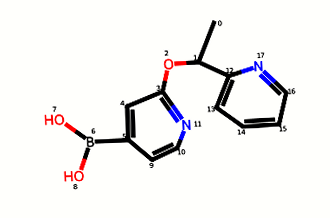 CC(Oc1cc(B(O)O)ccn1)c1ccccn1